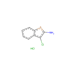 Cl.Nc1sc2ccccc2c1Cl